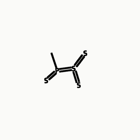 CP(=S)=S(=S)=S